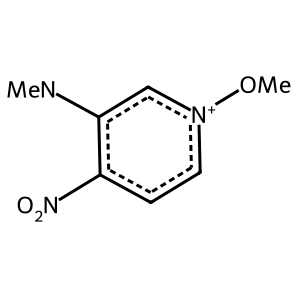 CNc1c[n+](OC)ccc1[N+](=O)[O-]